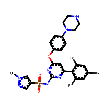 CC(C)c1cc(C(C)C)c(-c2cc(Oc3ccc(N4CCNCC4)cc3)nc(NS(=O)(=O)c3cnn(C)c3)n2)c(C(C)C)c1